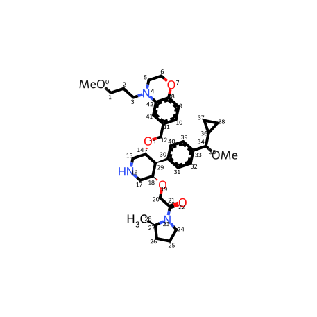 COCCCN1CCOc2ccc(CO[C@H]3CNC[C@@H](OCC(=O)N4CCC[C@H]4C)[C@@H]3c3ccc(C(OC)C4CC4)cc3)cc21